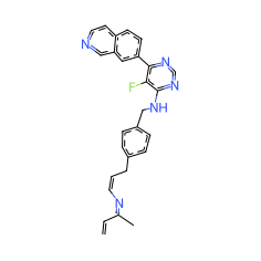 C=C/C(C)=N\C=C/Cc1ccc(CNc2ncnc(-c3ccc4ccncc4c3)c2F)cc1